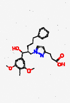 COc1cc([C@@H](O)[C@@H](CCCc2ccccc2)Cn2ccc(CCC(=O)O)n2)cc(OC)c1C